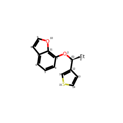 [CH2]C[C@H](Oc1cccc2ccoc12)c1ccsc1